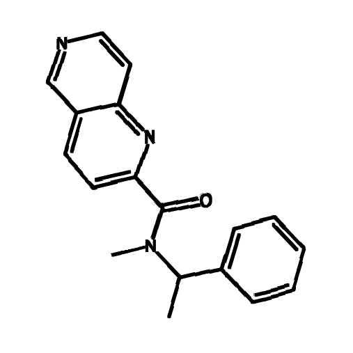 CC(c1ccccc1)N(C)C(=O)c1ccc2cnccc2n1